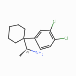 C[C@H](N)C1(c2ccc(Cl)c(Cl)c2)CCCCC1